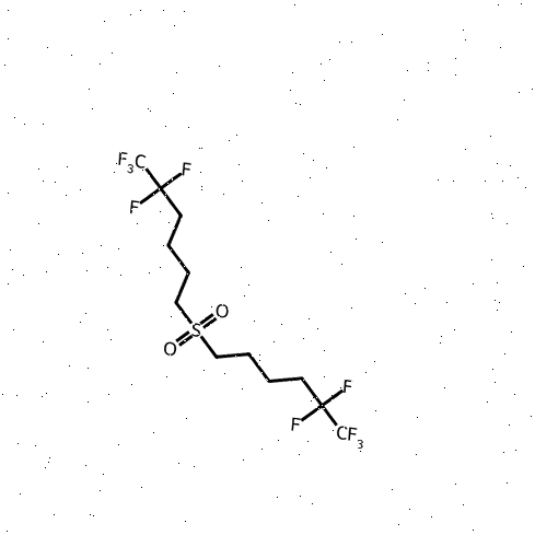 O=S(=O)(CCCCC(F)(F)C(F)(F)F)CCCCC(F)(F)C(F)(F)F